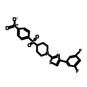 O=[N+]([O-])c1ccc(S(=O)(=O)C2CCN(c3nc(-c4cc(F)cc(F)c4)cs3)CC2)cc1